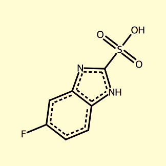 O=S(=O)(O)c1nc2cc(F)ccc2[nH]1